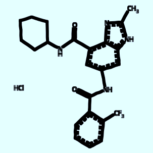 Cc1nc2c(C(=O)NC3CCCCC3)cc(NC(=O)c3ccccc3C(F)(F)F)cc2[nH]1.Cl